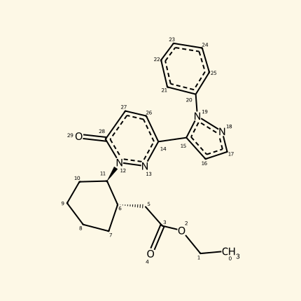 CCOC(=O)C[C@@H]1CCCC[C@H]1n1nc(-c2ccnn2-c2ccccc2)ccc1=O